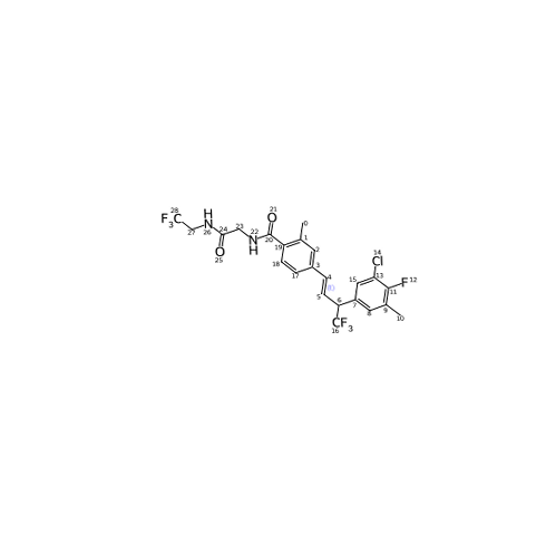 Cc1cc(/C=C/C(c2cc(C)c(F)c(Cl)c2)C(F)(F)F)ccc1C(=O)NCC(=O)NCC(F)(F)F